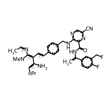 C=C(NC(=O)c1nc(C#N)cnc1NCc1ccc(/C=C/C(C(/N)=C/CCC)=C(\N=C/C)NC)cc1)c1ccc(F)c(CF)c1